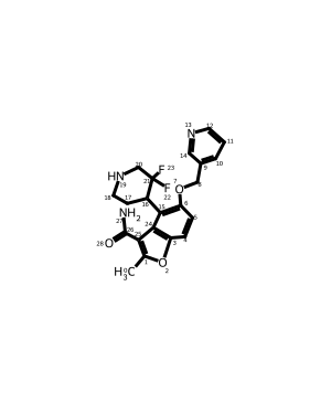 Cc1oc2ccc(OCc3cccnc3)c(C3CCNCC3(F)F)c2c1C(N)=O